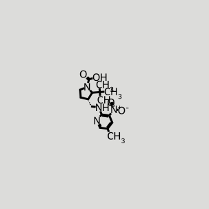 Cc1cnc(NC[C@@H]2CCN(C(=O)O)C2C(C)(C)C)c([N+](=O)[O-])c1